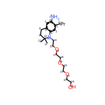 CC(C)c1cc2c(cc1N)CCC(C)(C)N2CCOCCOCCOCCO